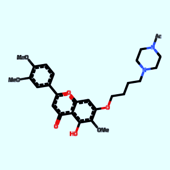 COc1ccc(-c2cc(=O)c3c(O)c(OC)c(OCCCCN4CCN(C(C)=O)CC4)cc3o2)cc1OC